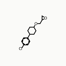 Clc1ccc(C2CCC(OCC3CO3)CC2)cc1